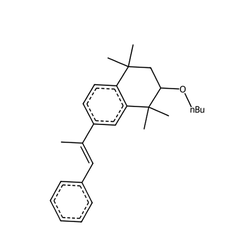 CCCCOC1CC(C)(C)c2ccc(C(C)=Cc3ccccc3)cc2C1(C)C